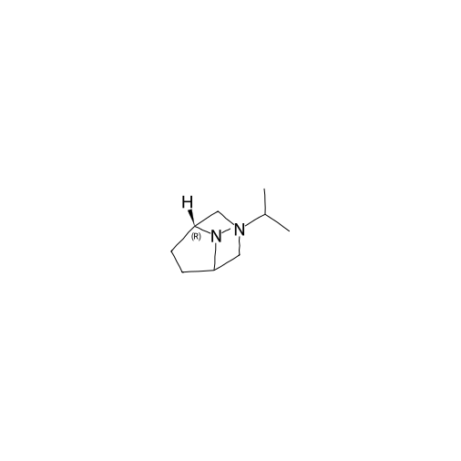 CC(C)N1CC2CC[C@H](C1)N2C